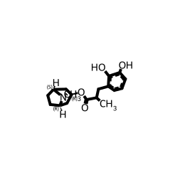 CC(Cc1cccc(O)c1O)C(=O)O[C@H]1C[C@H]2CC[C@@H](C1)N2C